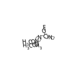 CC(C)(C)OC(=O)N1CCN(Cc2ccc(N3CCCC3)cc2OCF)CC1